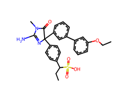 CCOc1cccc(-c2cccc(C3(c4ccc(C(CC)S(=O)(=O)O)cc4)N=C(N)N(C)C3=O)c2)c1